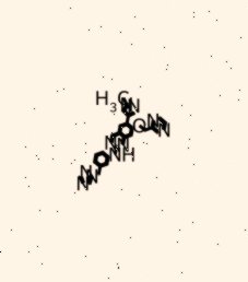 Cn1cc(-c2cc3cnc(Nc4cccc(Cn5cncn5)c4)nc3cc2OCc2cnccn2)cn1